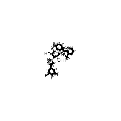 OC[C@H]1O[C@@H](S[C@@H](c2ncccc2C(F)(F)F)C2(O)CCC(F)(F)CC2)[C@H](O)[C@@H](n2cc(-c3cc(F)c(F)c(F)c3)nn2)[C@H]1O